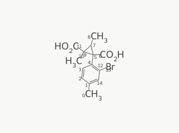 Cc1ccc(C2(C(=O)O)C(C)C2(C)C(=O)O)c(Br)c1